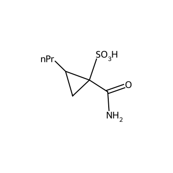 CCCC1CC1(C(N)=O)S(=O)(=O)O